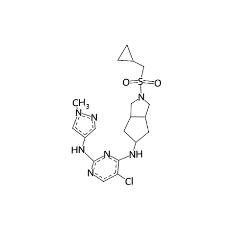 Cn1cc(Nc2ncc(Cl)c(NC3CC4CN(S(=O)(=O)CC5CC5)CC4C3)n2)cn1